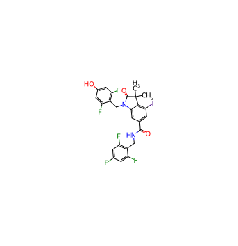 CC1(C)C(=O)N(Cc2c(F)cc(O)cc2F)c2cc(C(=O)NCc3c(F)cc(F)cc3F)cc(I)c21